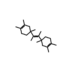 CC1=C(C)CC(C)(C(C)=C(C)C2(C)CCC(C)=C(C)C2)CC1